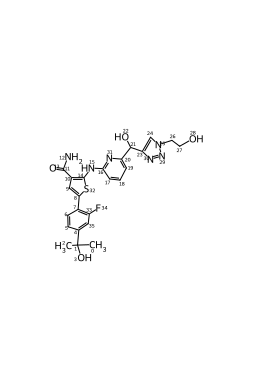 CC(C)(O)c1ccc(-c2cc(C(N)=O)c(Nc3cccc(C(O)c4cn(CCO)nn4)n3)s2)c(F)c1